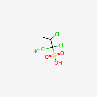 CC(Cl)C(Cl)(Cl)S(=O)(=O)O.Cl